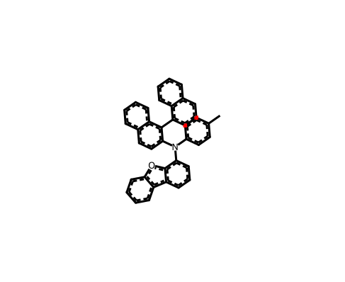 Cc1ccc(N(c2ccc3ccccc3c2-c2cccc3ccccc23)c2cccc3c2oc2ccccc23)cc1